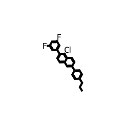 CCCc1ccc(-c2ccc3c(Cl)c(-c4cc(F)cc(F)c4)ccc3c2)cc1